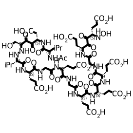 CC(=O)N[C@H](C(=O)N[C@@H](CC(=O)O)C(=O)C(=O)[C@H](CO)NN[C@H](C(=O)N[C@@H](CCC(=O)O)C(=O)NCC(=O)N[C@@H](CCC(=O)O)C(=O)NCC(=O)N[C@@H](CCC(=O)O)C(=O)N[C@@H](CCC(=O)O)C(=O)N[C@@H](CCC(=O)O)C(=O)NCC(=O)N[C@@H](CCC(=O)O)C(=O)C(=O)[C@H](CCC(=O)O)NO)C(C)C)C(C)C